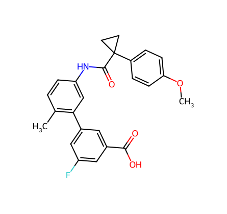 COc1ccc(C2(C(=O)Nc3ccc(C)c(-c4cc(F)cc(C(=O)O)c4)c3)CC2)cc1